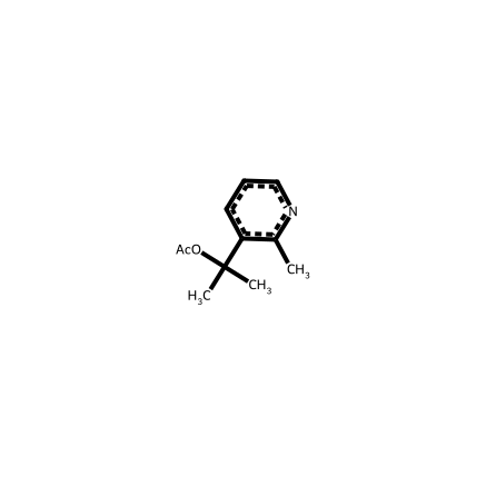 CC(=O)OC(C)(C)c1cccnc1C